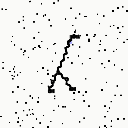 CCCCCCCC/C=C/CCCCCCCCN(CCOCCO)CCOCCO